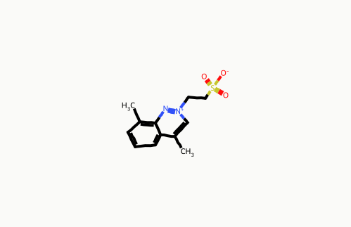 Cc1c[n+](CCS(=O)(=O)[O-])nc2c(C)cccc12